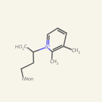 CCCCCCCCCCCC(C(=O)O)[n+]1cccc(C)c1C